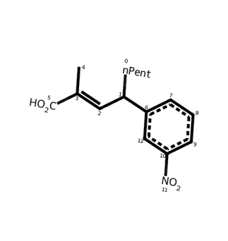 CCCCCC(C=C(C)C(=O)O)c1cccc([N+](=O)[O-])c1